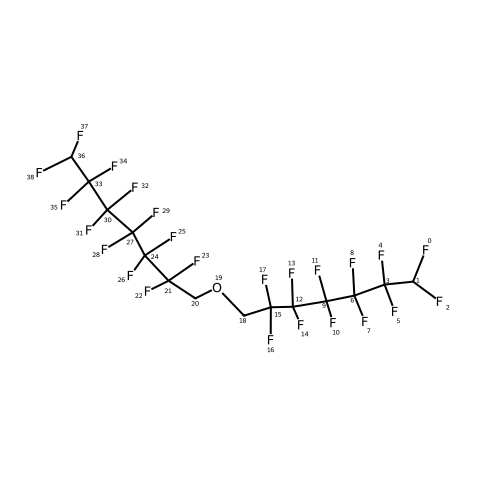 FC(F)C(F)(F)C(F)(F)C(F)(F)C(F)(F)C(F)(F)COCC(F)(F)C(F)(F)C(F)(F)C(F)(F)C(F)(F)C(F)F